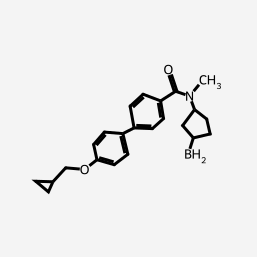 BC1CCC(N(C)C(=O)c2ccc(-c3ccc(OCC4CC4)cc3)cc2)C1